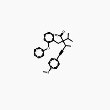 CSc1ccc(C#CC(C)C(Cc2ccccc2Oc2ccccc2)(C(=O)O)C(C)C)cc1